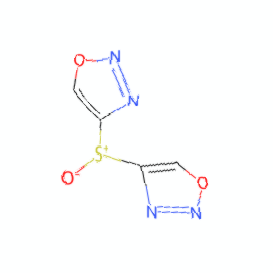 [O-][S+](c1conn1)c1conn1